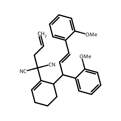 C=CCC(C#N)(C#N)C1=CCCCC1C(C=Cc1ccccc1OC)c1ccccc1OC